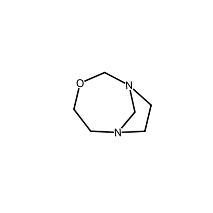 C1CN2CCN(CO1)C2